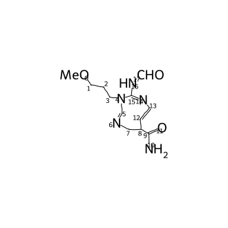 COCCCN1/C=N/CC(C(N)=O)/C=C/N=C\1NC=O